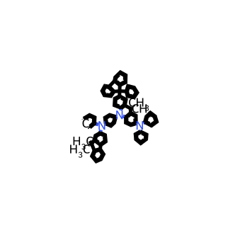 CC1(C)c2ccccc2-c2ccc(N(c3ccccc3)c3ccc(N4c5ccc(N(c6ccccc6)c6ccccc6)cc5C(C)(C)c5cc(C6(c7ccccc7)c7ccccc7-c7ccccc76)ccc54)cc3)cc21